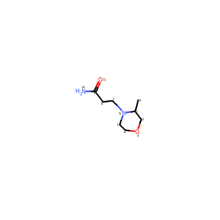 CC1COCCN1CCC(N)=O